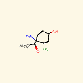 COC(=O)C1(N)CCC(O)CC1.Cl